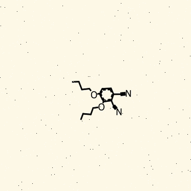 CCCCOc1ccc(C#N)c(C#N)c1OCCCC